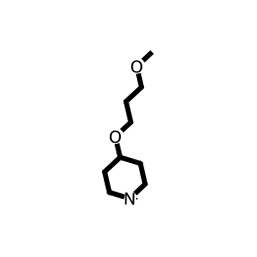 COCCCOC1CC[N]CC1